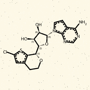 Nc1ncnc2c1ccn2[C@@H]1O[C@H]([C@@H]2OCCc3cc(Cl)sc32)[C@@H](O)[C@H]1O